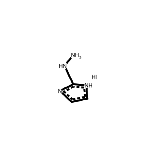 I.NNc1ncc[nH]1